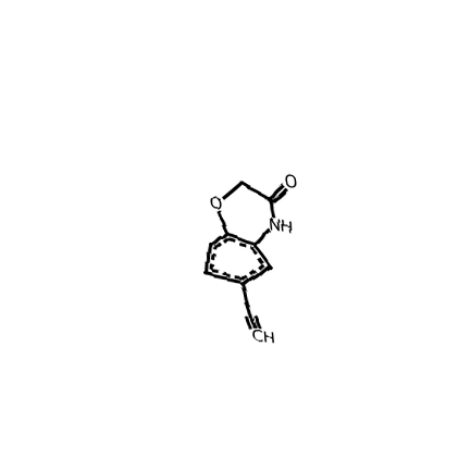 C#Cc1ccc2c(c1)NC(=O)CO2